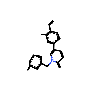 C=Cc1ccc(C2=CN(Cc3cccc(C)c3)C(=C)C=C2)cc1C